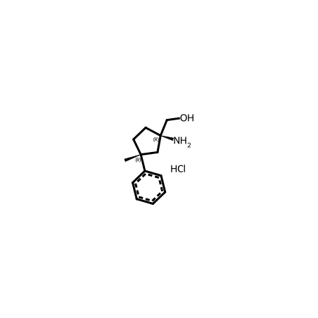 C[C@@]1(c2ccccc2)CC[C@](N)(CO)C1.Cl